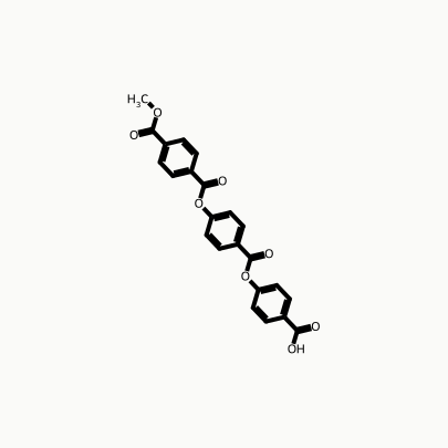 COC(=O)c1ccc(C(=O)Oc2ccc(C(=O)Oc3ccc(C(=O)O)cc3)cc2)cc1